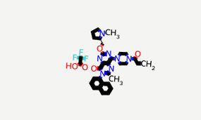 C=CC(=O)N1CCN(c2nc(OC[C@@H]3CCCN3C)nc3c(=O)n(-c4cccc5ccccc45)c(C)nc23)CC1.O=C(O)C(F)(F)F